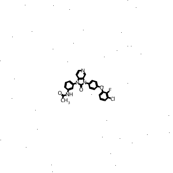 CC(=O)Nc1cccc(-n2c(=O)n(-c3ccc(Oc4cccc(Cl)c4F)cc3)c3cnccc32)c1